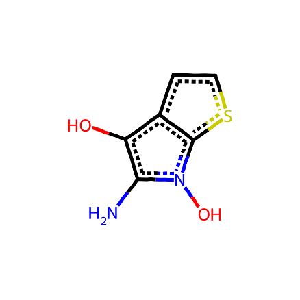 Nc1c(O)c2ccsc2n1O